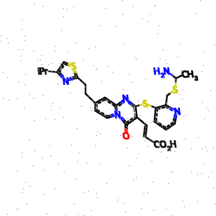 CC(N)SCc1ncccc1Sc1nc2cc(CCc3nc(C(C)C)cs3)ccn2c(=O)c1C=CC(=O)O